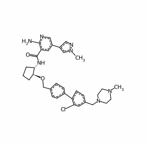 CN1CCN(Cc2ccc(-c3ccc(CO[C@H]4CCC[C@@H]4NC(=O)c4cc(-c5cnn(C)c5)cnc4N)cc3)c(Cl)c2)CC1